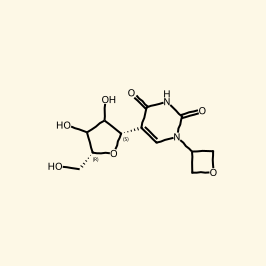 O=c1[nH]c(=O)n(C2COC2)cc1[C@@H]1O[C@H](CO)C(O)C1O